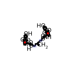 C=CC(C/C=C\COC(=O)NCC12C=CC(O1)C1C(=O)N(c3ccc(O)cc3)C(=O)C12)CC/C=C/COC(=O)NCC12C=CC(O1)C1C(=O)N(c3ccc(O)cc3)C(=O)C12